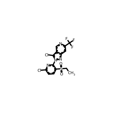 CCS(=O)(=O)c1ccc(Cl)nc1-n1nc2cc(C(F)(F)F)ncc2c1Cl